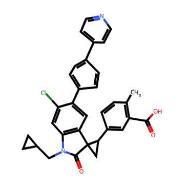 Cc1ccc(C2CC23C(=O)N(CC2CC2)c2cc(Cl)c(-c4ccc(-c5ccncc5)cc4)cc23)cc1C(=O)O